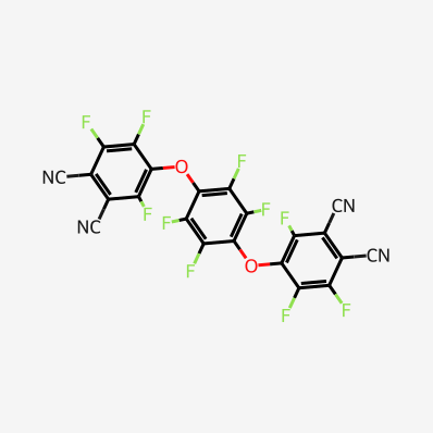 N#Cc1c(F)c(F)c(Oc2c(F)c(F)c(Oc3c(F)c(F)c(C#N)c(C#N)c3F)c(F)c2F)c(F)c1C#N